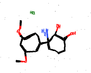 COc1cc(OC)cc(C2(N)CCCC(O)C2O)c1.Cl